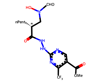 CCCCC[C@H](CN(O)C=O)C(=O)NNc1ncc(C(=O)OC)c(C(F)(F)F)n1